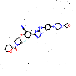 N#Cc1cc(-c2ncnc(Nc3ccc(N4CCN(C5COC5)CC4)cc3)n2)ccc1O[C@H]1CCN(C(=O)[C@H]2CCCCO2)C[C@H]1F